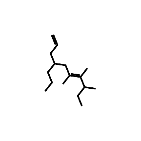 C=CCC(CCC)CC(C)=C(C)C(C)CC